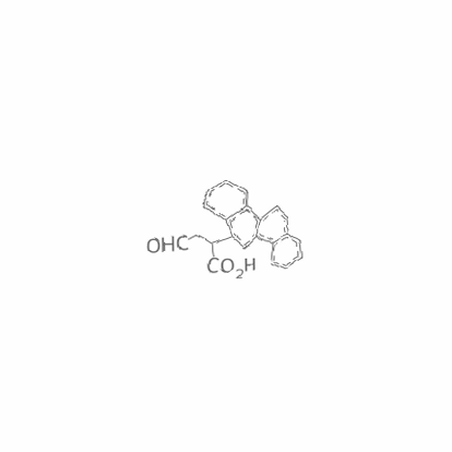 O=CCC(C(=O)O)c1cc2c3ccccc3ccc2c2ccccc12